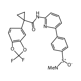 CN[S+]([O-])c1ccc(-c2cccc(NC(=O)C3(c4ccc5c(c4)OC(F)(F)O5)CC3)n2)cc1